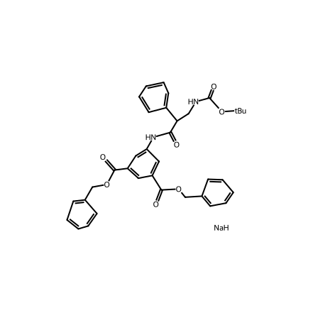 CC(C)(C)OC(=O)NCC(C(=O)Nc1cc(C(=O)OCc2ccccc2)cc(C(=O)OCc2ccccc2)c1)c1ccccc1.[NaH]